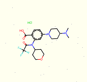 CN(C)C1CCN(c2ccc(C(=O)O)c(N(C(=O)C(F)(F)F)C3CCOCC3)c2)CC1.Cl